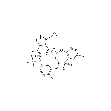 Cc1cnc2c(c1)S(=O)(=O)N(Cc1cc([C@@H](c3ccc4c(nnn4C4CC4)c3C)C(C)(C)C(=O)O)cnc1C)CC1(CC1)O2